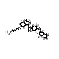 COCCOc1ccc2ncnc(Nc3ccc(Oc4ccn5ccnc5c4)c(F)c3)c2c1